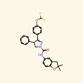 CC1(C)Cc2cc(NC(=O)N3CC(c4ccccc4)C(c4ccc(OC(F)F)cc4)=N3)ccc2O1